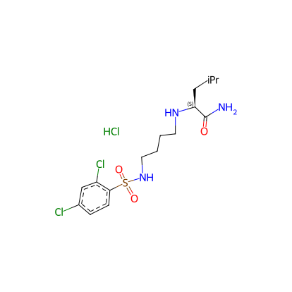 CC(C)C[C@H](NCCCCNS(=O)(=O)c1ccc(Cl)cc1Cl)C(N)=O.Cl